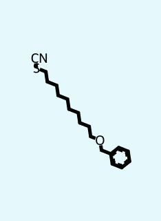 N#CSCCCCCCCCCCOCc1ccccc1